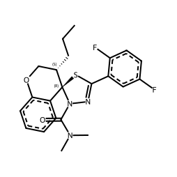 CCC[C@H]1COc2ccccc2[C@]12SC(c1cc(F)ccc1F)=NN2C(=O)N(C)C